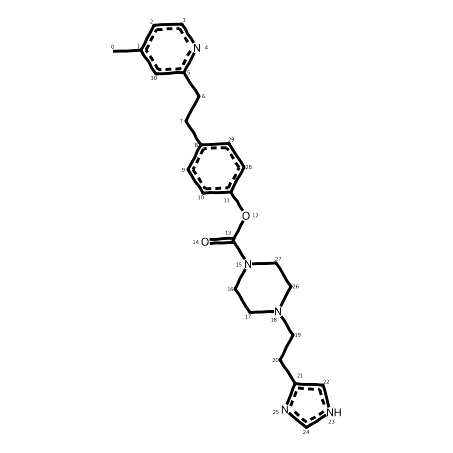 Cc1ccnc(CCc2ccc(OC(=O)N3CCN(CCc4c[nH]cn4)CC3)cc2)c1